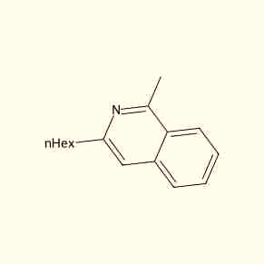 CCCCCCc1cc2ccccc2c(C)n1